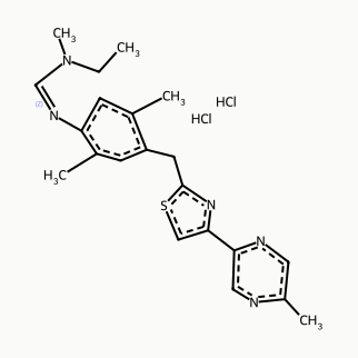 CCN(C)/C=N\c1cc(C)c(Cc2nc(-c3cnc(C)cn3)cs2)cc1C.Cl.Cl